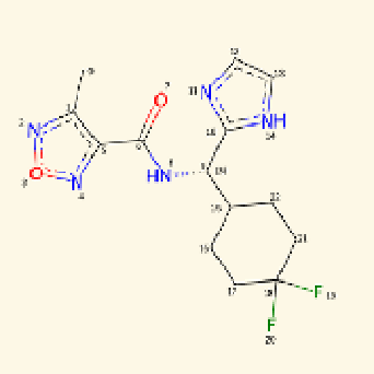 Cc1nonc1C(=O)N[C@H](c1ncc[nH]1)C1CCC(F)(F)CC1